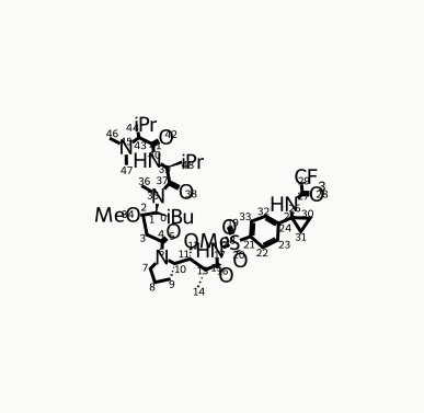 CC[C@H](C)[C@@H]([C@@H](CC(=O)N1CCC[C@H]1[C@H](OC)[C@@H](C)C(=O)NS(=O)(=O)c1ccc(C2(NC(=O)C(F)(F)F)CC2)cc1)OC)N(C)C(=O)[C@@H](NC(=O)C(C(C)C)N(C)C)C(C)C